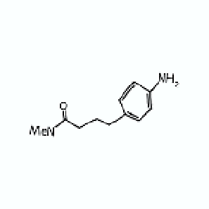 CNC(=O)CCCc1ccc(N)cc1